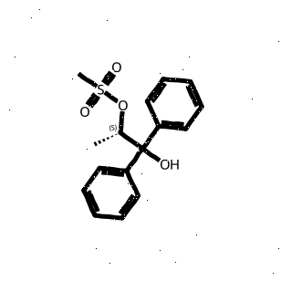 C[C@H](OS(C)(=O)=O)C(O)(c1ccccc1)c1ccccc1